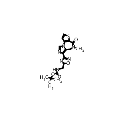 CN1Cc2c(-c3noc(CNC(=O)OC(C)(C)C)n3)ncn2-c2ccsc2C1=O